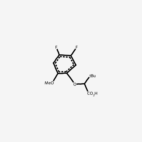 COc1cc(F)c(F)cc1OC(C(=O)O)C(C)(C)C